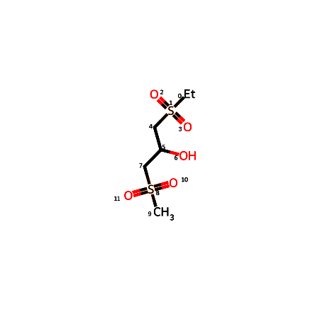 CCS(=O)(=O)CC(O)CS(C)(=O)=O